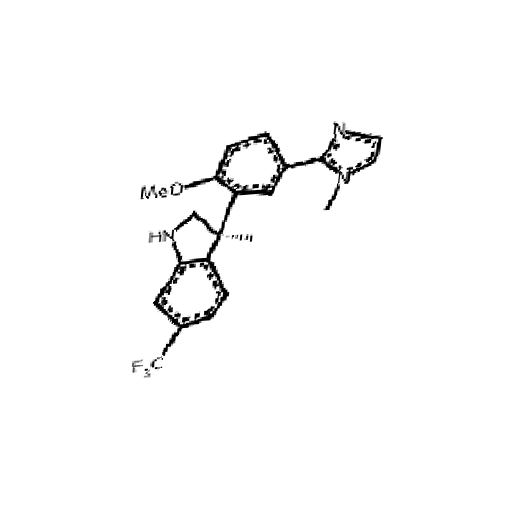 COc1ccc(-c2nccn2C)cc1[C@]1(C)CNc2cc(C(F)(F)F)ccc21